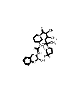 CC(CC(C)(C)N1CCC(F)(F)C1)C(C#N)C(=O)N1CCC[C@H](OC(=O)N[C@@H](Cc2ccccc2)B(O)O)C1